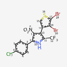 O=[N+]([O-])c1c(-c2ccc(Cl)cc2)[nH]c(C(F)(F)F)c1-c1csc(Br)c1Br